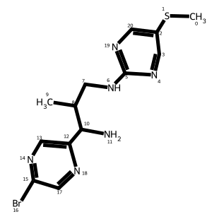 CSc1cnc(NCC(C)C(N)c2cnc(Br)cn2)nc1